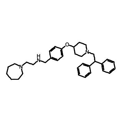 c1ccc(C(CN2CCC(Oc3ccc(CNCCN4CCCCCC4)cc3)CC2)c2ccccc2)cc1